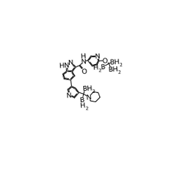 BC(B)(B)Oc1ccc(NC(=O)c2n[nH]c3ccc(-c4cncc(C(B)(B)N5CCCCC5)c4)cc23)cn1